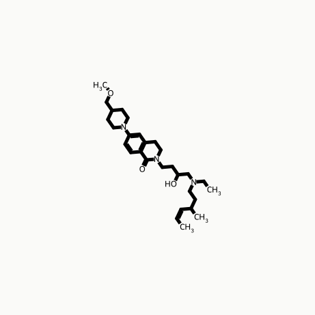 C/C=C\C(C)CCN(CC)CC(O)CCN1CCc2cc(N3CCC(COC)CC3)ccc2C1=O